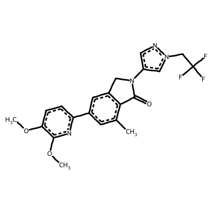 COc1ccc(-c2cc(C)c3c(c2)CN(c2cnn(CC(F)(F)F)c2)C3=O)nc1OC